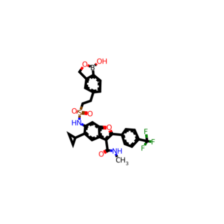 CNC(=O)c1c(-c2ccc(C(F)(F)F)cc2)oc2cc(NS(=O)(=O)CCc3ccc4c(c3)COB4O)c(C3CC3)cc12